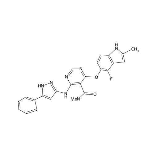 CNC(=O)c1c(Nc2cc(-c3ccccc3)[nH]n2)ncnc1Oc1ccc2[nH]c(C)cc2c1F